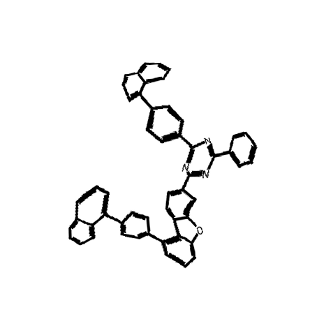 c1ccc(-c2nc(-c3ccc(-c4cccc5ccccc45)cc3)nc(-c3ccc4c(c3)oc3cccc(-c5ccc(-c6cccc7ccccc67)cc5)c34)n2)cc1